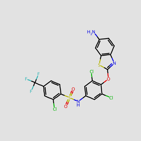 Nc1ccc2nc(Oc3c(Cl)cc(NS(=O)(=O)c4ccc(C(F)(F)F)cc4Cl)cc3Cl)sc2c1